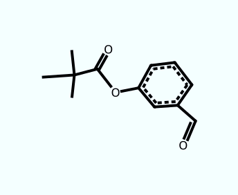 CC(C)(C)C(=O)Oc1cccc(C=O)c1